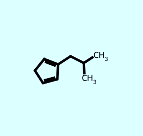 CC(C)CC1=[C]CC=C1